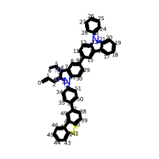 C=C/C=c1\c(=C/C)c2cc(-c3ccc4c(c3)c3ccccc3n4-c3ccccc3)ccc2n1-c1ccc(-c2ccc3sc4ccccc4c3c2)cc1